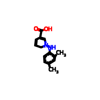 Cc1ccc(NN2C=C(C(=O)O)C=CC2)c(C)c1